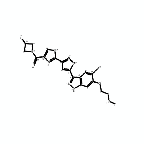 COCCOc1cc2[nH]nc(-c3cc(-c4nc(C(=O)N5CC(F)C5)cs4)no3)c2cc1F